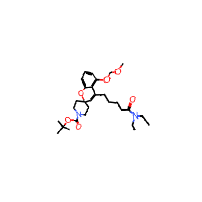 CCN(CC)C(=O)CCCCC1=CC2(CCN(C(=O)OC(C)(C)C)CC2)Oc2cccc(OCOC)c21